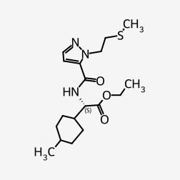 CCOC(=O)[C@@H](NC(=O)c1ccnn1CCSC)C1CCC(C)CC1